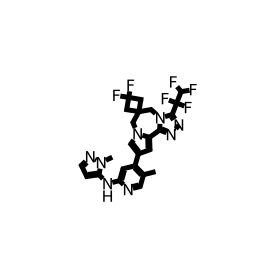 Cc1cnc(Nc2ccnn2C)cc1-c1cc2n(c1)CC1(Cn3c-2nnc3C(F)(F)C(F)F)CC(F)(F)C1